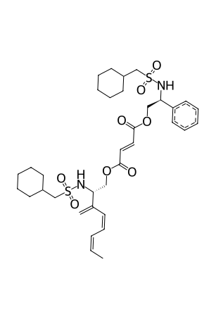 C=C(/C=C\C=C/C)[C@@H](COC(=O)/C=C/C(=O)OC[C@@H](NS(=O)(=O)CC1CCCCC1)c1ccccc1)NS(=O)(=O)CC1CCCCC1